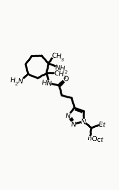 CCCCCCCCC(CC)n1cc(CCC(=O)NC2(C)CC(N)CCCC2(C)N)nn1